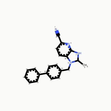 CC1Nc2nc(C#N)ccc2N1Cc1ccc(-c2ccccc2)cc1